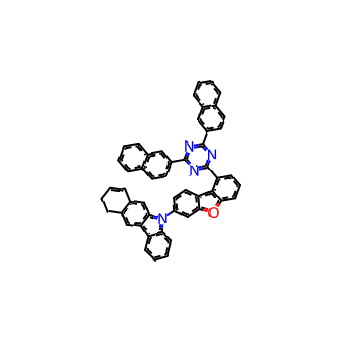 C1=Cc2cc3c(cc2CC1)c1ccccc1n3-c1ccc2c(c1)oc1cccc(-c3nc(-c4ccc5ccccc5c4)nc(-c4ccc5ccccc5c4)n3)c12